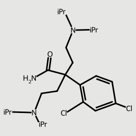 CC(C)N(CCC(CCN(C(C)C)C(C)C)(C(N)=O)c1ccc(Cl)cc1Cl)C(C)C